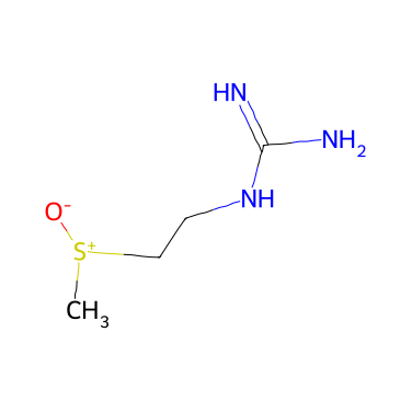 C[S+]([O-])CCNC(=N)N